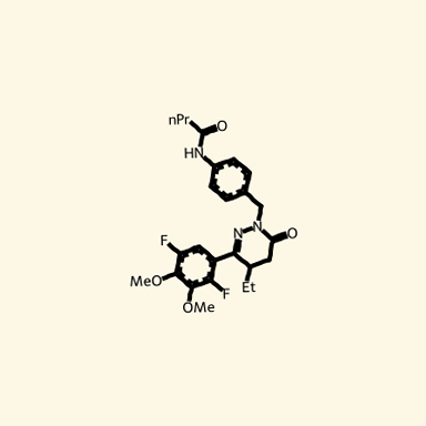 CCCC(=O)Nc1ccc(CN2N=C(c3cc(F)c(OC)c(OC)c3F)C(CC)CC2=O)cc1